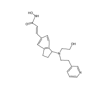 O=C(C=Cc1ccc2c(c1)CCC2N(CCO)CCc1cccnc1)NO